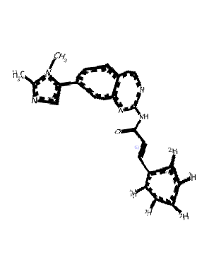 [2H]c1c([2H])c([2H])c(/C=C/C(=O)Nc2ncc3ccc(-c4cnc(C)n4C)cc3n2)c([2H])c1[2H]